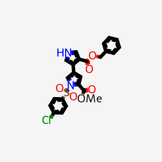 COC(=O)c1cc(-c2c[nH]cc2C(=O)OCc2ccccc2)cn1S(=O)(=O)c1ccc(Cl)cc1